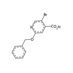 O=C(O)c1cc(OCc2ccccc2)ncc1Br